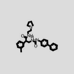 Cc1cccc(C(CNC(=O)Nc2ccc(-c3ccccc3)cc2)C(=O)NCCN2CCCC2)c1